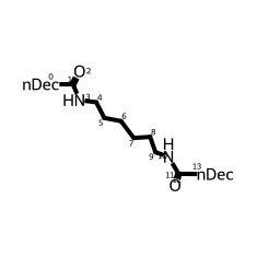 CCCCCCCCCCC(=O)NCCCCCCNC(=O)CCCCCCCCCC